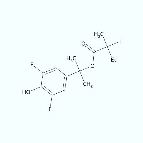 CCC(C)(I)C(=O)OC(C)(C)c1cc(F)c(O)c(F)c1